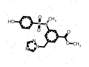 COC(=O)c1cc(Cn2cncn2)cc(N(C)S(=O)(=O)c2ccc(O)cc2)c1